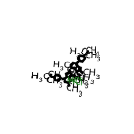 CCC1=Cc2c(-c3ccc(C(C)(C)C)cc3)cc(C)cc2[CH]1[Zr](=[SiH2])([CH2]C)([CH2]C)[CH]1C(C)=Cc2c(-c3ccc(C(C)(C)C)cc3)cc(C)cc21.Cl.Cl